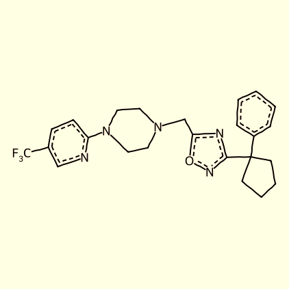 FC(F)(F)c1ccc(N2CCN(Cc3nc(C4(c5ccccc5)CCCC4)no3)CC2)nc1